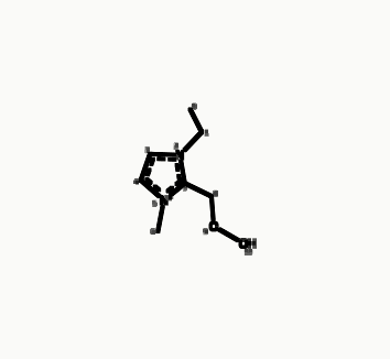 CCn1cc[n+](C)c1COO